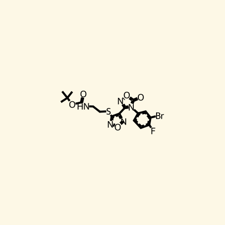 CC(C)(C)OC(=O)NCCSc1nonc1-c1noc(=O)n1-c1ccc(F)c(Br)c1